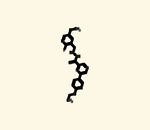 CCOc1ccc(-c2cncc(C(=O)NNCc3cc(OC)cnc3F)n2)cn1